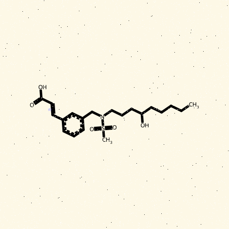 CCCCCC(O)CCCN(Cc1cccc(/C=C/C(=O)O)c1)S(C)(=O)=O